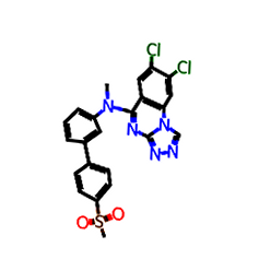 CN(c1cccc(-c2ccc(S(C)(=O)=O)cc2)c1)c1nc2nncn2c2cc(Cl)c(Cl)cc12